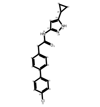 O=C(Cc1ccc(-c2ccc(Cl)cc2)cc1)Nc1cc(C2CC2)[nH]n1